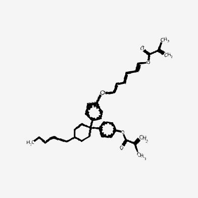 C=C(C)C(=O)O/C=C/C=C/C=C/Oc1ccc(C2(c3ccc(OC(=O)C(=C)C)cc3)CCC(CCCCC)CC2)cc1